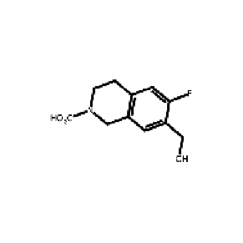 O=C(O)N1CCc2cc(F)c(CO)cc2C1